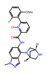 COc1cccc(F)c1-c1cccc(C(=O)Nc2ccc3c(cnn3C)c2N2C[C@H]3C[C@@H]2CN3)[n+]1[O-]